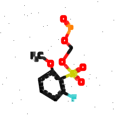 O=POCOS(=O)(=O)c1c(F)cccc1OC(F)(F)F